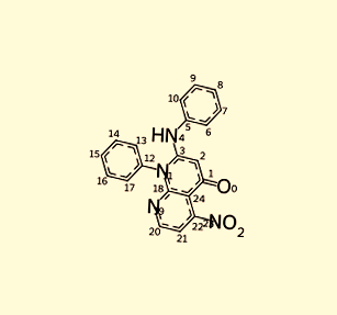 O=c1cc(Nc2ccccc2)n(-c2ccccc2)c2nccc([N+](=O)[O-])c12